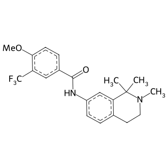 COc1ccc(C(=O)Nc2ccc3c(c2)C(C)(C)N(C)CC3)cc1C(F)(F)F